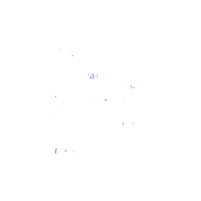 COc1cc2cccnc2c2[nH]c(C)cc(=O)c12